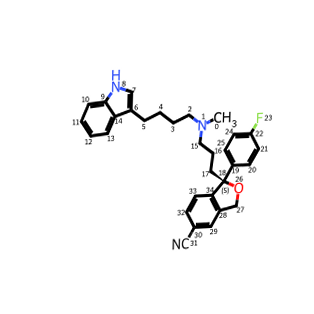 CN(CCCCc1c[nH]c2ccccc12)CCC[C@@]1(c2ccc(F)cc2)OCc2cc(C#N)ccc21